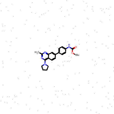 Cc1nc(N2CCCC2)c2ccc(-c3ccc(NC(=O)OC(C)(C)C)cc3)cc2n1